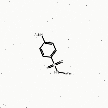 CCCCCNS(=O)(=O)c1ccc(NC(C)=O)cc1